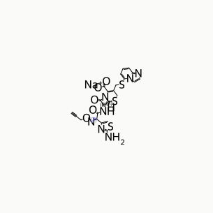 C#CCO/N=C(\C(=O)N[C@@H]1C(=O)N2C(C(=O)[O-])=C(CSc3cccc4nccn34)CS[C@H]12)c1csc(N)n1.[Na+]